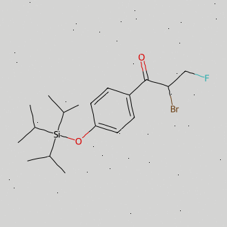 CC(C)[Si](Oc1ccc(C(=O)C(Br)CF)cc1)(C(C)C)C(C)C